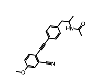 COc1ccc(C#Cc2ccc(CC(C)NC(C)=O)cc2)c(C#N)c1